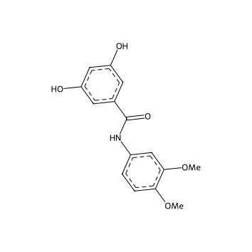 COc1ccc(NC(=O)c2cc(O)cc(O)c2)cc1OC